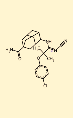 CC(C)(Oc1ccc(Cl)cc1)/C(=N/C#N)NC1C2CC3CC1CC(C(N)=O)(C3)C2